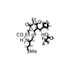 CCOC(=O)COC(=O)N(CC)C(=O)C(CSSCC(N)CCSC)Cc1ccsc1.O=C(O)C(F)(F)F